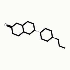 CCC[C@H]1CC[C@H](C2CCC3CC(=O)CCC3C2)CC1